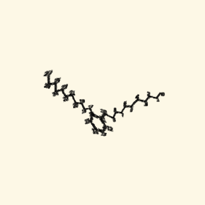 CCCCCCCCCCCc1ccccc1CCCCCCCCCCC